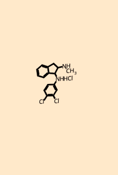 CNC1Cc2ccccc2C1Nc1ccc(Cl)c(Cl)c1.Cl